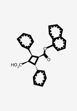 O=C(O)[C@H]1[C@@H](c2ccccc2)[C@@H](C(=O)Oc2cccc3ccccc23)[C@@H]1c1ccccc1